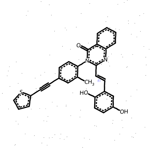 Cc1cc(C#Cc2cccs2)ccc1-n1c(/C=C/c2cc(O)ccc2O)nc2ccccc2c1=O